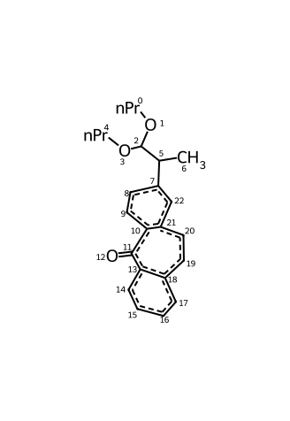 CCCOC(OCCC)C(C)c1ccc2c(=O)c3ccccc3ccc2c1